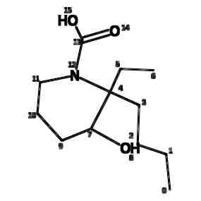 CCCCC1(CC)C(O)CCCN1C(=O)O